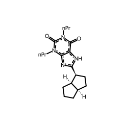 CCCn1c(=O)c2[nH]c([C@H]3CC[C@H]4CCC[C@H]43)nc2n(CCC)c1=O